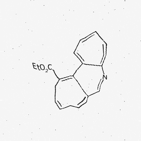 CCOC(=O)c1cccc2cnc3ccccc3c12